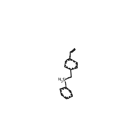 C=Cc1ccc(C[SiH2]c2ccccc2)cc1